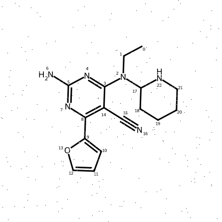 CCN(c1nc(N)nc(-c2ccco2)c1C#N)C1CCCCN1